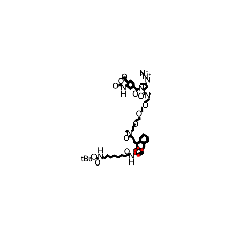 CN(CCOCCOCCOCCN(C)C(=O)[C@@H]1C[C@H](N=[N+]=[N-])CN1C(=O)c1ccc2c(=O)oc(=O)[nH]c2c1)C(=O)CCC12c3cc(NC(=O)CCCCCCCNC(=O)OC(C)(C)C)ccc3C(C3C=CC=CC31)C1C=CC=CC12